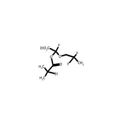 CCOC(=O)C(F)(OCC(C)(F)F)OC(=O)C(C)(C)CC